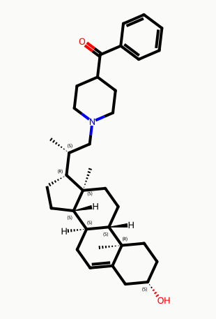 C[C@H](CN1CCC(C(=O)c2ccccc2)CC1)[C@H]1CC[C@H]2[C@@H]3CC=C4C[C@@H](O)CC[C@]4(C)[C@H]3CC[C@]12C